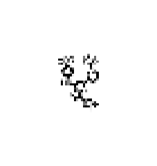 Cn1cc(-c2cnn3c(Nc4ccc(S(C)(=O)=O)cc4)cc(C4CCCN(C(=O)OC(C)(C)C)C4)nc23)cn1